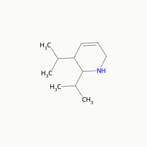 CC(C)C1C=CCNC1C(C)C